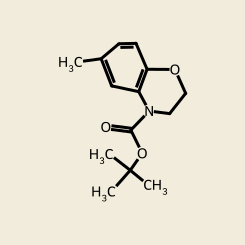 Cc1ccc2c(c1)N(C(=O)OC(C)(C)C)CCO2